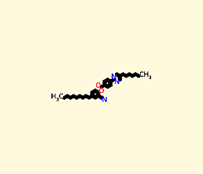 CCCCCCCCCCc1ccc(OC(=O)c2ccc(-c3ncc(CCCCCCC)cn3)cc2)c(C#N)c1